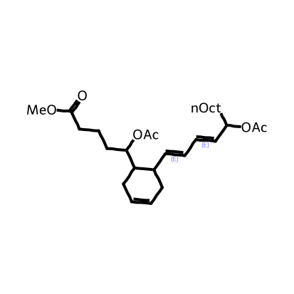 CCCCCCCCC(/C=C/C=C/C1CC=CCC1C(CCCC(=O)OC)OC(C)=O)OC(C)=O